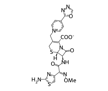 CON=C(C(=O)N[C@@H]1C(=O)N2C(C(=O)[O-])=C(C[n+]3ccc(-c4nnco4)cc3)CS[C@@H]12)c1csc(N)n1